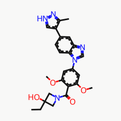 CCC1(O)CN(C(=O)c2c(OC)cc(-n3cnc4cc(-c5c[nH]nc5C)ccc43)cc2OC)C1